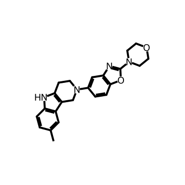 Cc1ccc2[nH]c3c(c2c1)CN(c1ccc2oc(N4CCOCC4)nc2c1)CC3